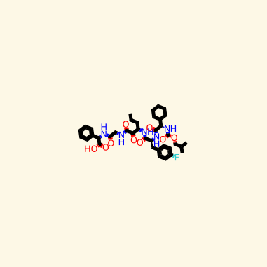 CCCC(NC(=O)[C@H](Cc1ccc(F)cc1)NC(=O)[C@@H](NC(=O)OCC(C)C)C1CCCCC1)C(=O)C(=O)NCC(=O)NC(C(=O)O)c1ccccc1